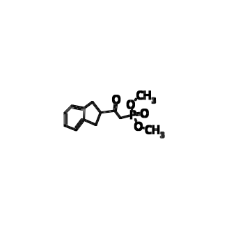 COP(=O)(CC(=O)C1Cc2ccccc2C1)OC